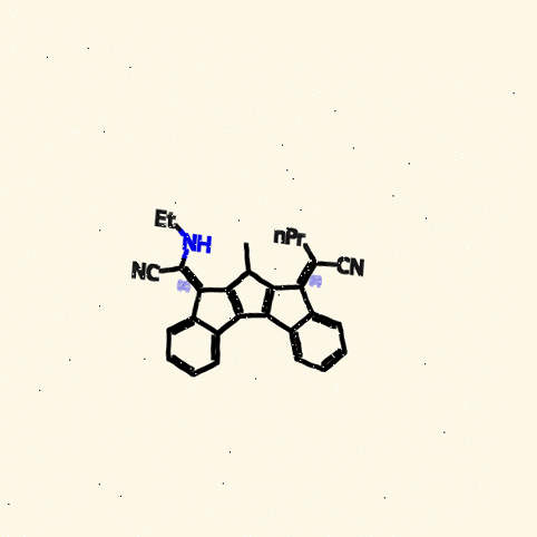 CCC/C(C#N)=C1\C2=C(C3=C(/C(=C(/C#N)NCC)c4ccccc43)C2C)c2ccccc21